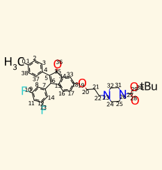 Cc1ccc(C2=C(c3cc(F)cc(F)c3)c3ccc(OCCCN4CCN(C(=O)OC(C)(C)C)CC4)cc3C2=O)cc1